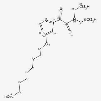 CCCCCCCCCCCCCCCCCCOc1cccc(C(=O)C(=O)N(CC(=O)O)CC(=O)O)c1